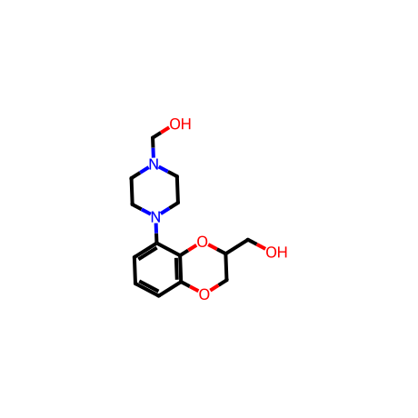 OCC1COc2cccc(N3CCN(CO)CC3)c2O1